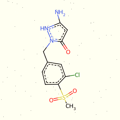 CS(=O)(=O)c1ccc(Cn2[nH]c(N)cc2=O)cc1Cl